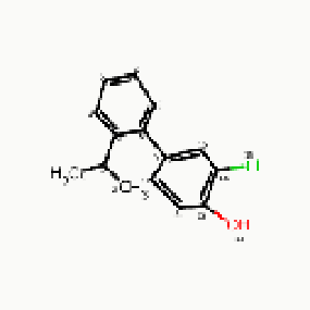 CC(C)c1ccccc1-c1ccc(O)c(Cl)c1